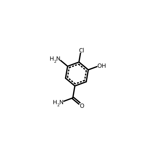 NC(=O)c1cc(N)c(Cl)c(O)c1